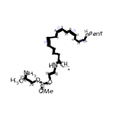 C=C(CCC/C=C\C/C=C\C/C=C\C/C=C\CCCCC)NCCOP(OC)OCC(C)N